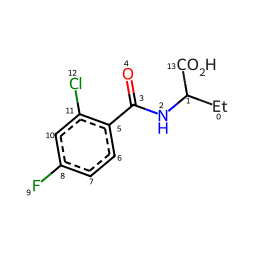 CCC(NC(=O)c1ccc(F)cc1Cl)C(=O)O